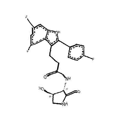 O=C(CCc1c(-c2ccc(F)cc2)[nH]c2cc(F)cc(F)c12)N[C@@H]1C(=O)NC[C@H]1O